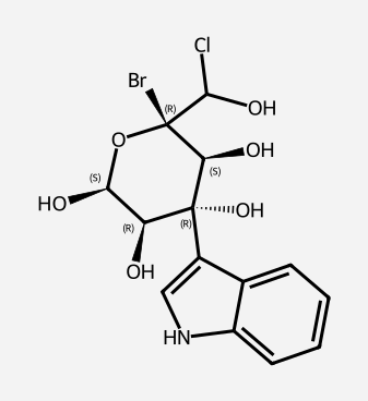 OC(Cl)[C@@]1(Br)O[C@H](O)[C@H](O)[C@](O)(c2c[nH]c3ccccc23)[C@@H]1O